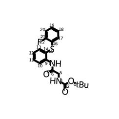 CC(C)(C)OC(=O)NCC(=O)Nc1ccccc1Sc1ccccc1F